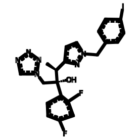 C[C@@H](c1ccn(Cc2ccc(I)cc2)n1)[C@](O)(Cn1cnnn1)c1ccc(F)cc1F